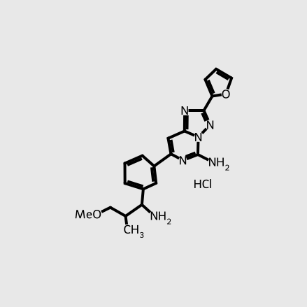 COCC(C)C(N)c1cccc(-c2cc3nc(-c4ccco4)nn3c(N)n2)c1.Cl